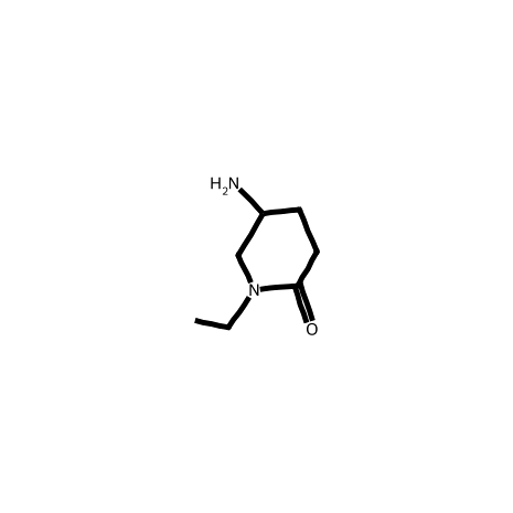 CCN1CC(N)CCC1=O